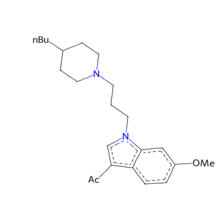 CCCCC1CCN(CCCn2cc(C(C)=O)c3ccc(OC)cc32)CC1